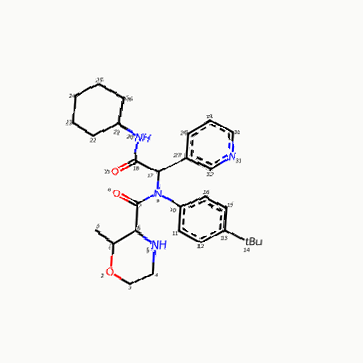 CC1OCCNC1C(=O)N(c1ccc(C(C)(C)C)cc1)C(C(=O)NC1CCCCC1)c1cccnc1